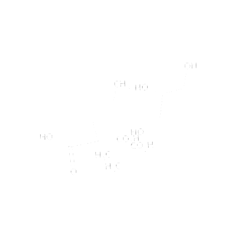 CC(=O)O.CC(=O)O.CCCCC(=O)O.OCC(O)CO